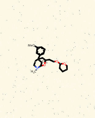 COc1cccc(C23CCN(C)C(OC(CCOC4CCCCO4)C2)C3C)c1